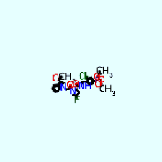 CCOP(=O)(OCC)c1ccc(CNC(=O)[C@@H]2C[C@@H](F)CN2C(=O)Cn2cc(C(C)=O)c3ccccc32)c(Cl)c1